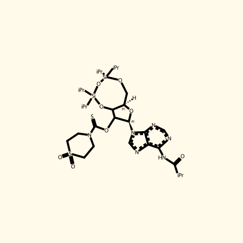 CC(C)C(=O)Nc1ncnc2c1ncn2[C@@H]1O[C@@H]2CO[Si](C(C)C)(C(C)C)O[Si](C(C)C)(C(C)C)OC2C1OC(=S)N1CCS(=O)(=O)CC1